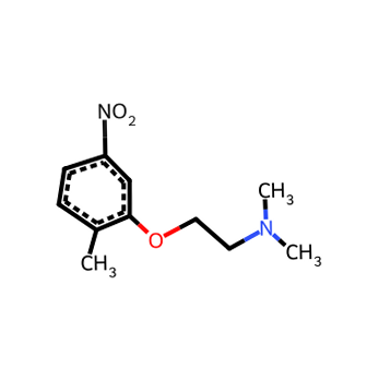 Cc1ccc([N+](=O)[O-])cc1OCCN(C)C